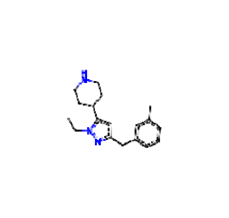 CCn1nc(Cc2cccc(C)c2)cc1C1CCNCC1